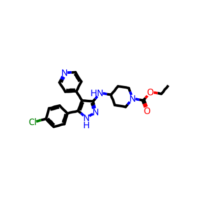 CCOC(=O)N1CCC(Nc2n[nH]c(-c3ccc(Cl)cc3)c2-c2ccncc2)CC1